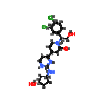 O=c1cc(-c2ccnc(N[C@H]3CC[C@H](O)C3)n2)ccn1C(CO)c1ccc(Cl)c(Cl)c1